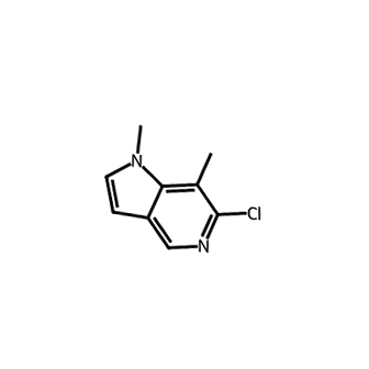 Cc1c(Cl)ncc2ccn(C)c12